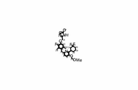 COCOc1ccc(Cc2c(C)cc(OCc3noc(=O)[nH]3)c(F)c2C)nc1C1CCCC(F)(F)C1